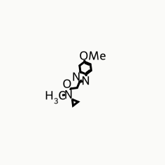 COC1=CC=C2N=C(CC(=O)N(C)C3CC3)N=C2C1